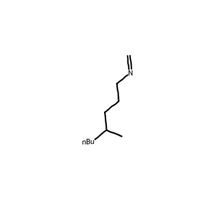 C=NCCCC(C)CCCC